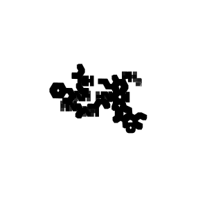 C=C(CC)NCC(=C)NC(Cc1ccccc1)C(=C)NCC(=C)NCCCC(=C)Nc1c2c(nc3cc(P)c(C)c(CCC)c13)C1=CC3=C(COC(=C)C3CC)C(=C)N1C2